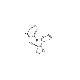 Cc1cccc(-n2c(=O)c3c(c4cccnc42)OCC3)c1